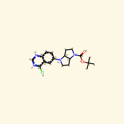 CC(C)(C)OC(=O)N1CCC2C1CCN2c1ccc2ncnc(Cl)c2c1